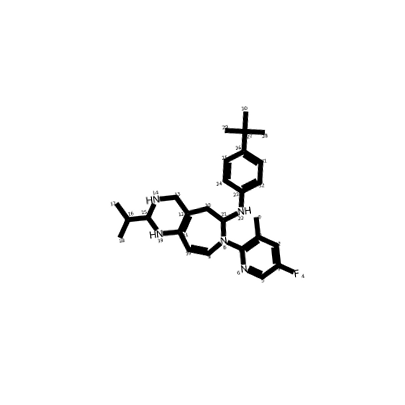 Cc1cc(F)cnc1N1C=CC2=C(CNC(C(C)C)N2)CC1Nc1ccc(C(C)(C)C)cc1